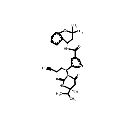 C#CCC[C@@H](c1cncc(C(=O)N[C@H]2CC(C)(C)Oc3ccccc32)c1)N1C(=N)N[C@](C)(C(C)C)CC1=O